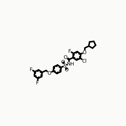 O=C(NS(=O)(=O)c1ccc(OCc2cc(F)cc(F)c2)cc1)c1cc(Cl)c(OCC2CCCC2)cc1F